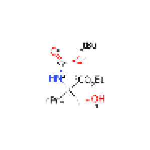 CCCC(CO)(NC(=O)OC(C)(C)C)C(=O)OCC